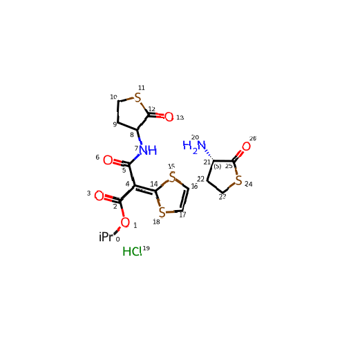 CC(C)OC(=O)C(C(=O)NC1CCSC1=O)=C1SC=CS1.Cl.N[C@H]1CCSC1=O